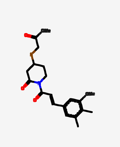 COC(=O)CSC1CCN(C(=O)/C=C/c2cc(C)c(C)c(OC)c2)C(=O)C1